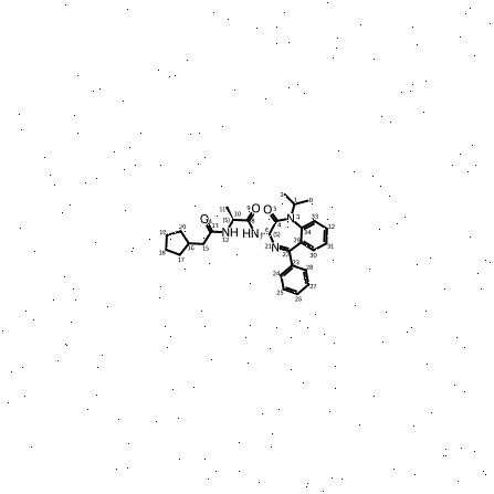 CC(C)N1C(=O)[C@@H](NC(=O)[C@H](C)NC(=O)CC2CCCC2)N=C(c2ccccc2)c2ccccc21